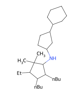 CCCCC1C(CCCC)C(NC2CCC(C3CCCCC3)C2)C(C)(C)C1CC